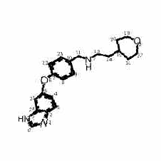 c1nc2ccc(Oc3ccc(CNCCC4CCOCC4)cc3)cc2[nH]1